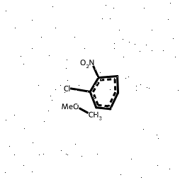 COC.O=[N+]([O-])c1ccccc1Cl